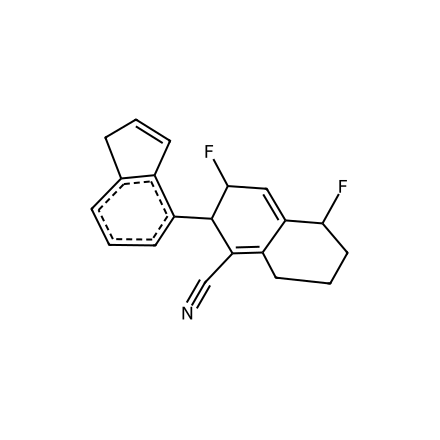 N#CC1=C2CCCC(F)C2=CC(F)C1c1cccc2c1C=CC2